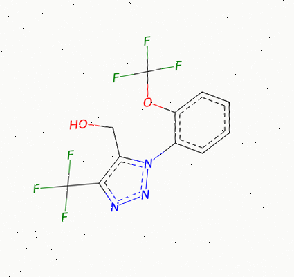 OCc1c(C(F)(F)F)nnn1-c1ccccc1OC(F)(F)F